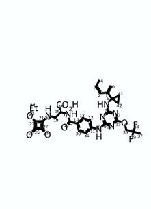 C=C(/C=C\C)C1(Nc2nc(Nc3ccc(C(=O)N[C@@H](CNc4c(OCC)c(=O)c4=O)C(=O)O)cc3)nc(OCC(C)(F)F)n2)CC1